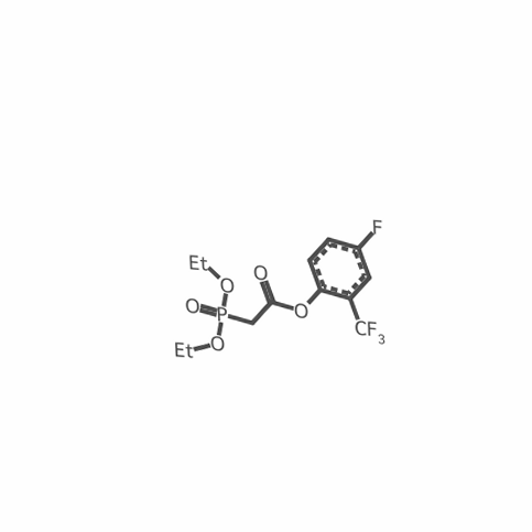 CCOP(=O)(CC(=O)Oc1ccc(F)cc1C(F)(F)F)OCC